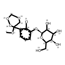 COC1(c2cccc(O[C@@H]3OC(CO)[C@H](O)C(O)C3O)c2Cl)COCOO1